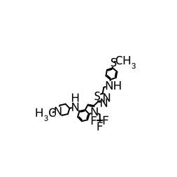 CSc1ccc(NCc2nnc(-c3cc4c(NC5CCN(C)CC5)cccc4n3CC(F)(F)F)s2)cc1